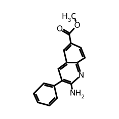 COC(=O)c1ccc2nc(N)c(-c3ccccc3)cc2c1